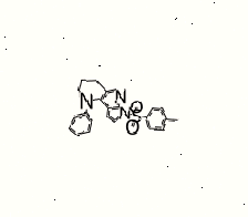 Cc1ccc(S(=O)(=O)n2ccc3c4c(cnc32)CCCN4c2ccccc2)cc1